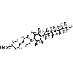 CCCCCCC[C@H]1CC[C@H]([C@H]2CC[C@H](c3c(F)c(F)c(C(F)(F)C(F)(F)C(F)(F)C(F)(F)C(F)(F)C(F)(F)C(F)(F)C(F)(F)F)c(F)c3F)CC2)CC1